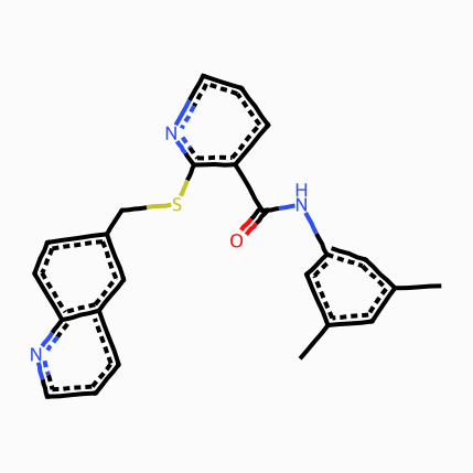 Cc1cc(C)cc(NC(=O)c2cccnc2SCc2ccc3ncccc3c2)c1